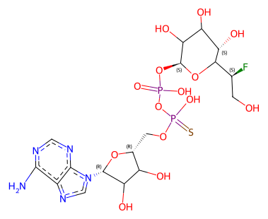 Nc1ncnc2c1ncn2[C@@H]1O[C@H](COP(O)(=S)OP(=O)(O)O[C@@H]2OC([C@@H](F)CO)[C@@H](O)C(O)C2O)C(O)C1O